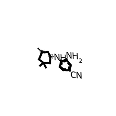 C[C@H]1C[C@H](Nc2ccc(C#N)cc2N)CC(C)(C)C1